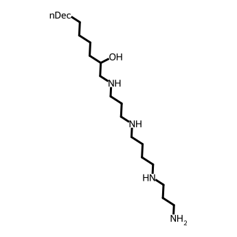 CCCCCCCCCCCCCCC(O)CNCCCNCCCCNCCCN